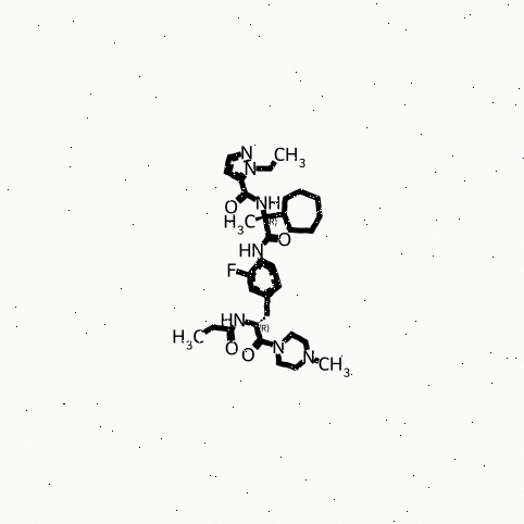 CCC(=O)N[C@H](Cc1ccc(NC(=O)[C@](C)(NC(=O)c2ccnn2CC)C2CCCCCC2)c(F)c1)C(=O)N1CCN(C)CC1